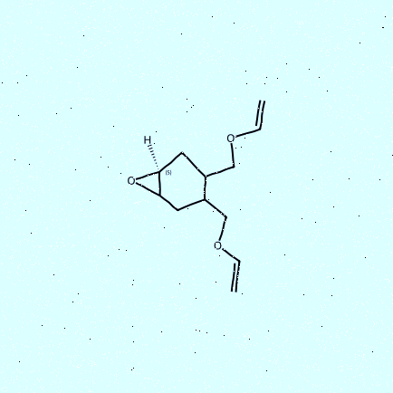 C=COCC1CC2O[C@H]2CC1COC=C